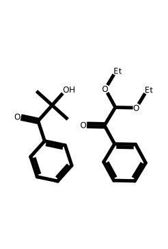 CC(C)(O)C(=O)c1ccccc1.CCOC(OCC)C(=O)c1ccccc1